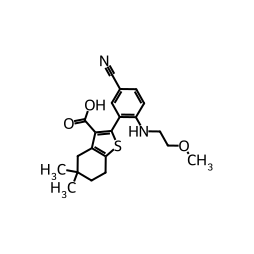 COCCNc1ccc(C#N)cc1-c1sc2c(c1C(=O)O)CC(C)(C)CC2